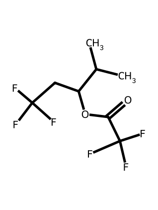 CC(C)C(CC(F)(F)F)OC(=O)C(F)(F)F